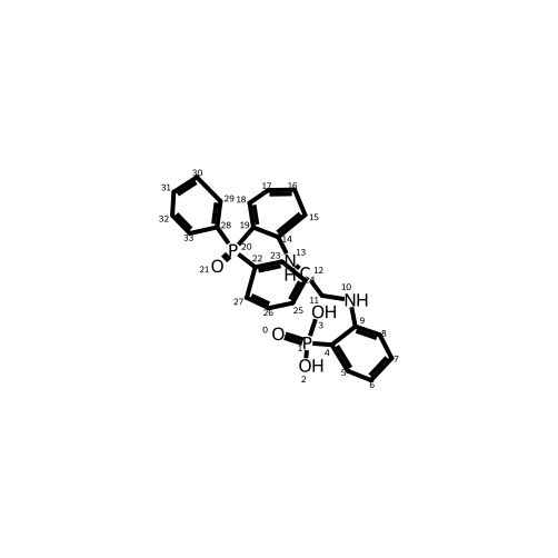 O=P(O)(O)c1ccccc1NCCNc1ccccc1P(=O)(c1ccccc1)c1ccccc1